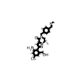 C/N=C/c1ccc(CN2C[C@H](C)n3nc(-c4c(N)cc(Cl)cc4CO)cc3C2=O)cc1